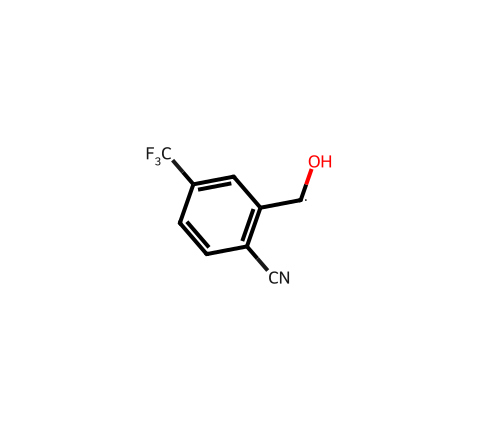 N#Cc1ccc(C(F)(F)F)cc1[CH]O